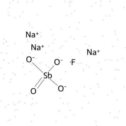 [F].[Na+].[Na+].[Na+].[O]=[Sb]([O-])([O-])[O-]